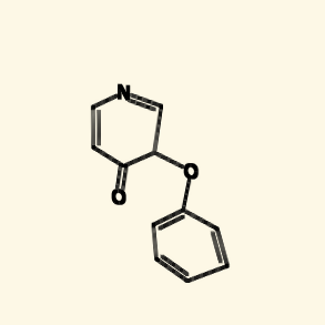 O=C1C=CN=CC1Oc1ccccc1